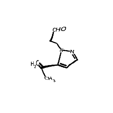 C=C(C)c1ccnn1CC=O